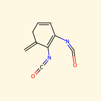 C=C1CC=[C]C(N=C=O)=C1N=C=O